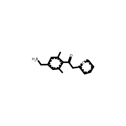 BCc1cc(C)c(C(=O)Cc2ccccc2)c(C)c1